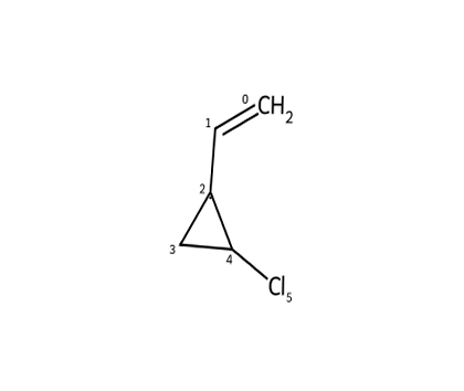 C=C[C]1CC1Cl